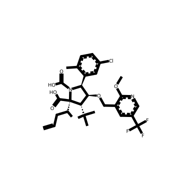 C=CCC(C)[C@@]1(C(=O)O)[C@@H](C(C)(C)C)[C@H](OCc2cc(C(F)(F)F)cnc2OC)[C@H](c2cc(Cl)ccc2C)N1C(=O)O